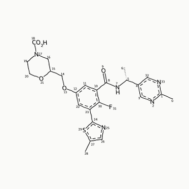 Cc1ncc([C@@H](C)NC(=O)c2cc(OCC3CN(C(=O)O)CCO3)cc(-c3ncc(C)s3)c2F)cn1